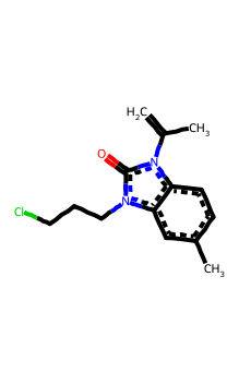 C=C(C)n1c(=O)n(CCCCl)c2cc(C)ccc21